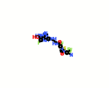 Cn1ncnc1C1C2=NNC(O)c3cc(F)cc(c32)NC1c1ccc(NCCCCNC(=O)c2ccc(N3C(=S)N(c4ccc(C#N)c(C(F)(F)F)c4)C(=O)C3(C)C)cc2F)cc1